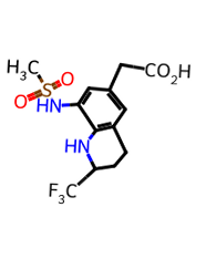 CS(=O)(=O)Nc1cc(CC(=O)O)cc2c1NC(C(F)(F)F)CC2